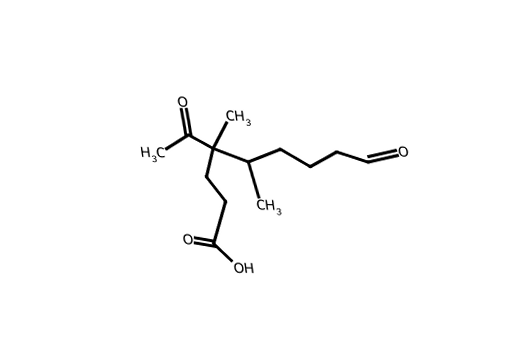 CC(=O)C(C)(CCC(=O)O)C(C)CCCC=O